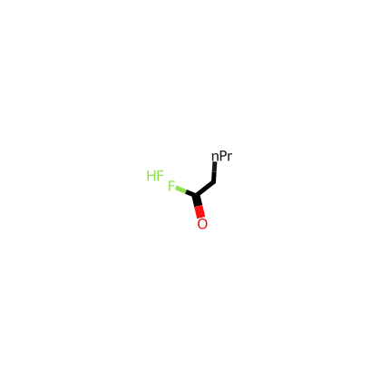 CCCCC(=O)F.F